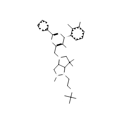 CCOC(=O)C1=C(CN2CC(F)(F)C3C2CN(C)N3CCOC(C)(C)C(=O)O)NC(c2nccs2)=N[C@H]1c1cccc(F)c1C